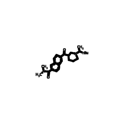 CCCCC(C)N1CCCC(C(=O)c2ccc3cc(C(=O)N(C)C)ccc3c2)C1